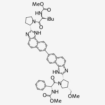 CC[C@H](C)[C@H](NC(=O)OC)C(=O)N1CCC[C@H]1c1nc2ccc3cc(-c4ccc5c(ccc6nc([C@@H]7C[C@H](COC)CN7C(=O)[C@H](NC(=O)OC)c7ccccc7)[nH]c65)c4)ccc3c2[nH]1